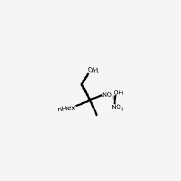 CCCCCCC(C)(CO)[N+](=O)[O-].O=[N+]([O-])O